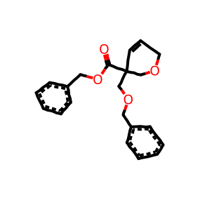 O=C(OCc1ccccc1)C1(COCc2ccccc2)C=CCOC1